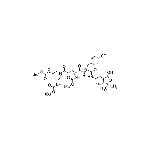 CC(C)(C)OC(=O)NCCN(CCNC(=O)OC(C)(C)C)C(=O)CC[C@H](NC(=O)OC(C)(C)C)C(=O)N[C@H](Cc1ccc(C(F)(F)F)cc1)C(=O)Nc1ccc2c(c1)B(O)OC2(C)C